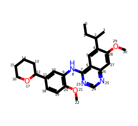 CCC(C)c1cc2c(Nc3cc(C4CCCCO4)ccc3OC)ncnc2cc1OC